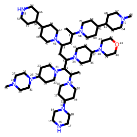 CC(CC(CC(C(C(C)N1CCC(N2CCNCC2)CC1)N1CCC(N2CCN(C)CC2)CC1)N1CCC(N2CCOCC2)CC1)N1CCC(C2CCNCC2)CC1)N1CCC(C2CCN(C)CC2)CC1